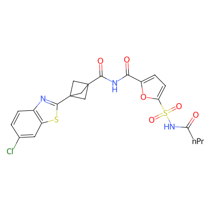 CCCC(=O)NS(=O)(=O)c1ccc(C(=O)NC(=O)C23CC(c4nc5ccc(Cl)cc5s4)(C2)C3)o1